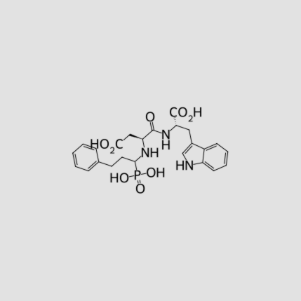 O=C(O)C[C@H](NC(CCc1ccccc1)P(=O)(O)O)C(=O)N[C@@H](Cc1c[nH]c2ccccc12)C(=O)O